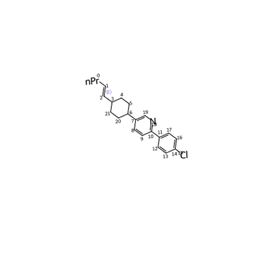 CCC/C=C/C1CCC(c2ccc(-c3ccc(Cl)cc3)nc2)CC1